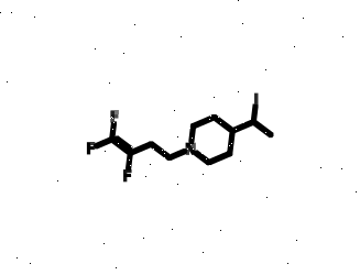 CC(I)C1CCN(CCC(F)=C(F)F)CC1